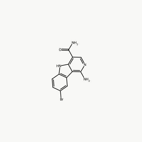 NC(=O)c1cnc(N)c2c1[nH]c1ccc(Br)cc12